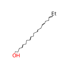 CCC=CCCC=CCC=CCCC=CCCC=CCCCO